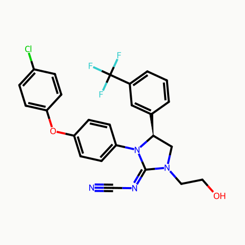 N#C/N=C1/N(CCO)C[C@H](c2cccc(C(F)(F)F)c2)N1c1ccc(Oc2ccc(Cl)cc2)cc1